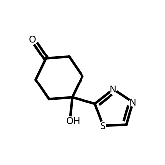 O=C1CCC(O)(c2nncs2)CC1